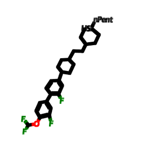 CCCCC[SiH]1CCC(CCC2CCC(c3ccc(-c4ccc(OC(F)F)c(F)c4)c(F)c3)CC2)CC1